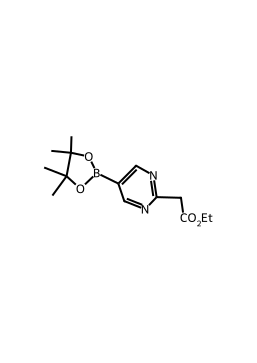 CCOC(=O)Cc1ncc(B2OC(C)(C)C(C)(C)O2)cn1